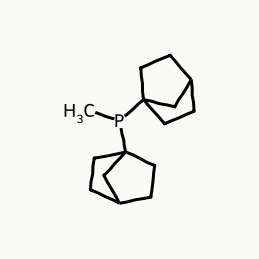 CP(C12CCC(CC1)C2)C12CCC(CC1)C2